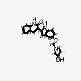 O=c1[nH]c2ccccc2cc1-c1cc2cc(OCN3CC[C@@H](O)C3)ccc2[nH]1